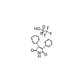 O=C1NC(=O)C(c2ccccc2)=C1c1ccccc1.O=S(=O)(O)C(F)(F)F